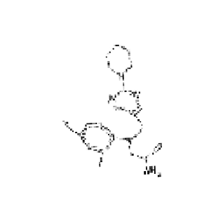 Cc1cc(F)ccc1N(CC(N)=O)Cc1cnc(N2CCCCC2)nc1